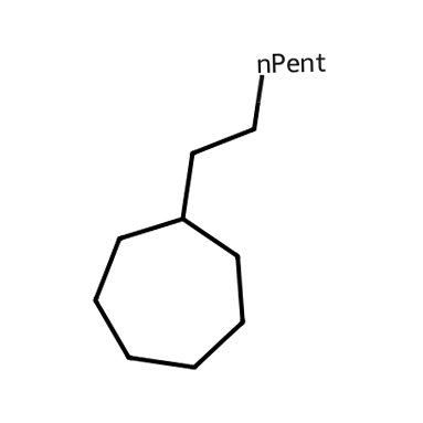 [CH2]CCCCCCC1CCCCCC1